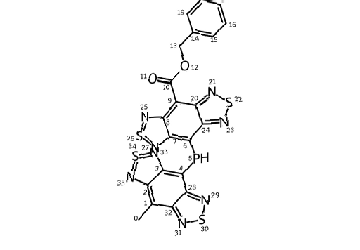 Cc1c2c(c(Pc3c4c(c(C(=O)OCc5ccccc5)c5nsnc35)N=S=N4)c3nsnc13)N=S=N2